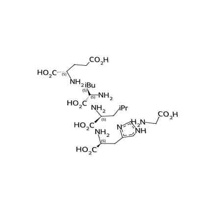 CC(C)C[C@H](N)C(=O)O.CC[C@H](C)[C@H](N)C(=O)O.NCC(=O)O.N[C@@H](CCC(=O)O)C(=O)O.N[C@@H](Cc1c[nH]cn1)C(=O)O